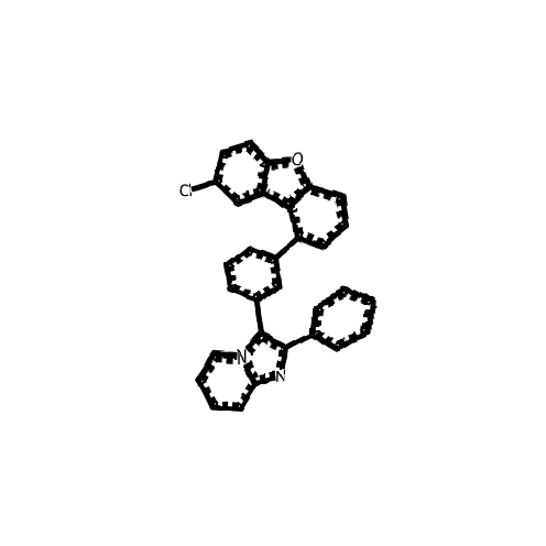 Clc1ccc2oc3cccc(-c4cccc(-c5c(-c6ccccc6)nc6ccccn56)c4)c3c2c1